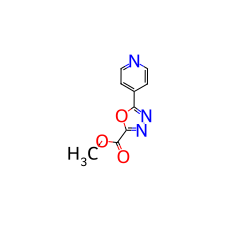 COC(=O)c1nnc(-c2ccncc2)o1